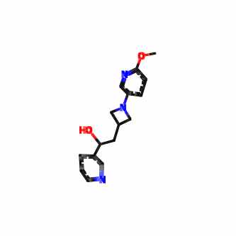 COc1ccc(N2CC(CC(O)c3cccnc3)C2)cn1